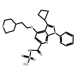 CS(=O)(=O)NC(=O)c1cc(OCCC2CCOCC2)c2c(C3CCC3)nn(-c3ccccc3)c2n1